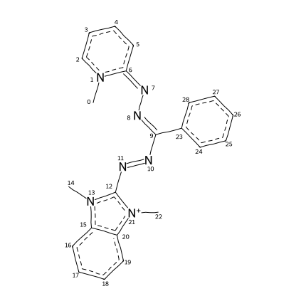 Cn1ccccc1=NN=C(N=Nc1n(C)c2ccccc2[n+]1C)c1ccccc1